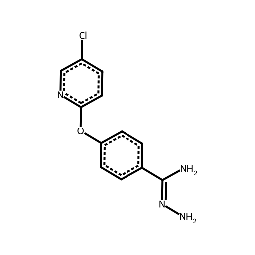 N/N=C(\N)c1ccc(Oc2ccc(Cl)cn2)cc1